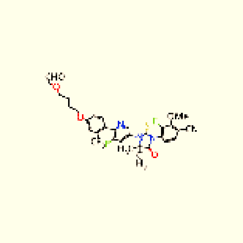 COc1c(C#N)ccc(N2C(=O)C(C)(C)N(c3cnc(-c4ccc(OCCCCOCC=O)cc4C(F)(F)F)c(F)c3)C2=S)c1F